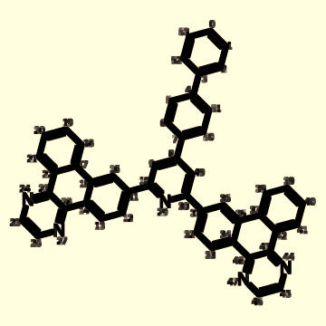 c1ccc(-c2ccc(-c3cc(-c4ccc5c(c4)c4ccccc4c4nccnc54)nc(-c4ccc5c(c4)c4ccccc4c4nccnc54)c3)cc2)cc1